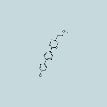 CC=CC1COC(c2ccc(-c3ccc(Cl)cc3)nc2)OC1